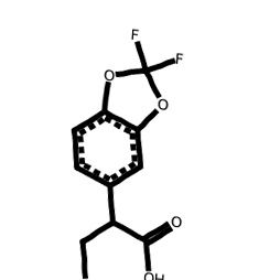 CCC(C(=O)O)c1ccc2c(c1)OC(F)(F)O2